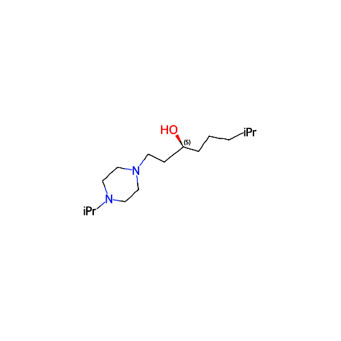 CC(C)CCC[C@H](O)CCN1CCN(C(C)C)CC1